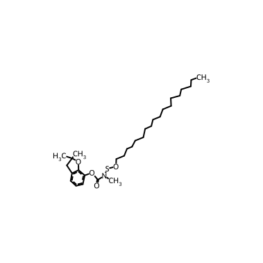 CCCCCCCCCCCCCCCCCCOSN(C)C(=O)Oc1cccc2c1OC(C)(C)C2